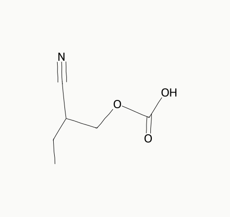 CCC(C#N)COC(=O)O